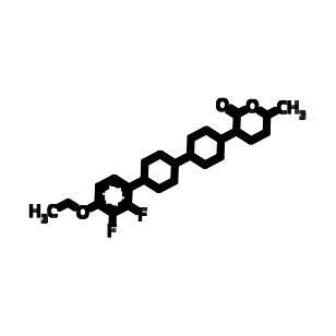 CCOc1ccc(C2CCC(C3CCC(C4CCC(C)OC4=O)CC3)CC2)c(F)c1F